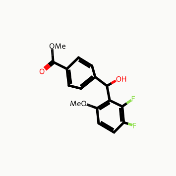 COC(=O)c1ccc(C(O)c2c(OC)ccc(F)c2F)cc1